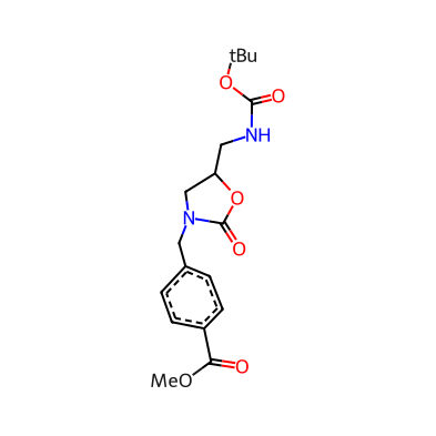 COC(=O)c1ccc(CN2CC(CNC(=O)OC(C)(C)C)OC2=O)cc1